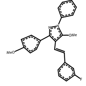 COc1ccc(-c2nn(-c3ccccc3)c(OC)c2/C=C/c2cccc(F)c2)cc1